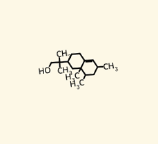 CC1C=C2CCC(C(C)(C)CO)CC2(C)C(C)C1